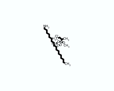 CCC(C)[N+](OC)(OC)OC.CCCCCCCCCCCCCCCCCCN.[Cl-]